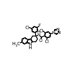 Cc1ccc2c3c([nH]c2c1)CCC(NC(=O)c1c(Cl)cc(-n2cnnc2)cc1Cl)(c1cc(F)cc(Cl)c1)C3